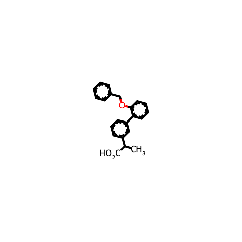 CC(C(=O)O)c1cccc(-c2ccccc2OCc2ccccc2)c1